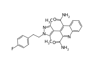 Cc1nn(CCc2ccc(F)cc2)c(C)c1-c1c(C(N)=O)nc2ccccc2c1C(N)=O